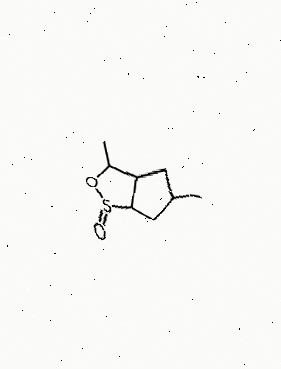 CC1CC2C(C)OS(=O)C2C1